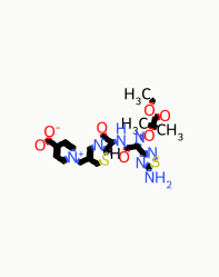 CCOC(=O)C(C)(C)ON=C(C(=O)NC1C(=O)N2C=C(C[n+]3ccc(C(=O)[O-])cc3)CS[C@@H]12)c1nsc(N)n1